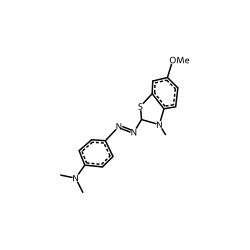 COc1ccc2c(c1)SC(N=Nc1ccc(N(C)C)cc1)N2C